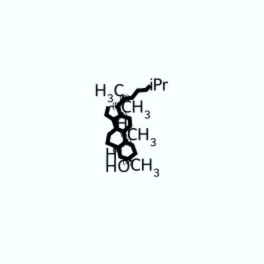 CC(C)CCC[C@@H](C)[C@H]1CCC2=C3CC[C@H]4C[C@@](C)(O)CC[C@]4(C)[C@H]3CC[C@@]21C